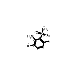 Cc1ccc(O)c(N)c1S(N)(=O)=O